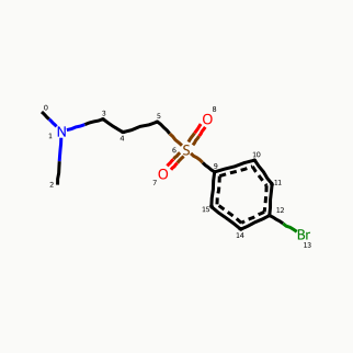 CN(C)CCCS(=O)(=O)c1ccc(Br)cc1